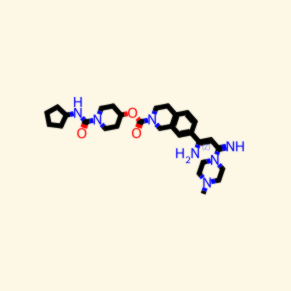 CN1CCN(C(=N)/C=C(\N)c2ccc3c(c2)CN(C(=O)OC2CCN(C(=O)NC4CCCC4)CC2)CC3)CC1